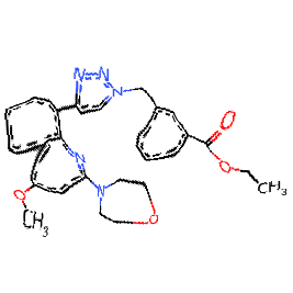 CCOC(=O)c1cccc(Cn2cc(-c3cccc4c(OC)cc(N5CCOCC5)nc34)nn2)c1